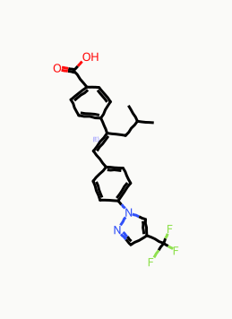 CC(C)C/C(=C\c1ccc(-n2cc(C(F)(F)F)cn2)cc1)c1ccc(C(=O)O)cc1